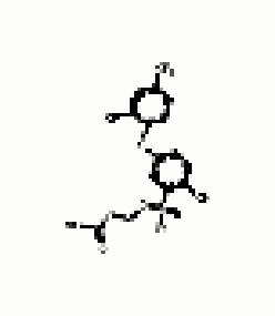 CCP(=O)(OCOC(=O)C(C)(C)C)c1cc(Oc2ccc(C(F)(F)F)cc2Cl)ccc1C#N